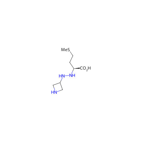 CSCC[C@H](NNC1CNC1)C(=O)O